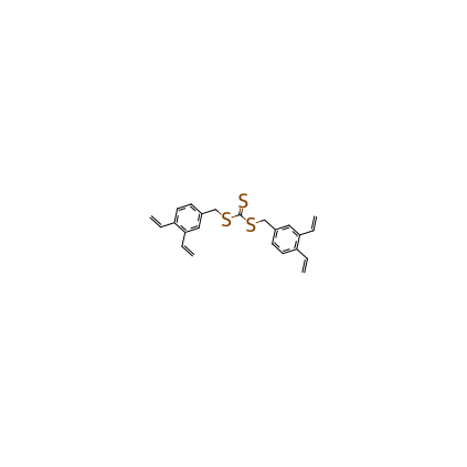 C=Cc1ccc(CSC(=S)SCc2ccc(C=C)c(C=C)c2)cc1C=C